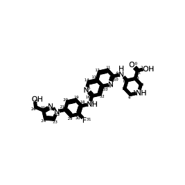 O=C(O)C1CNCCC1Nc1ccc2cnc(Nc3ccc(-n4ccc(CO)n4)cc3F)cc2n1